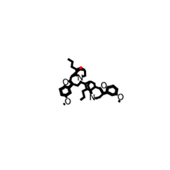 CCCC1CC2CC3c4oc5ccc(OC)cc5c4CC(C4C5CC6c7oc8ccc(OC)cc8c7CCN(C5)C6C4CCC)N(C2)C13